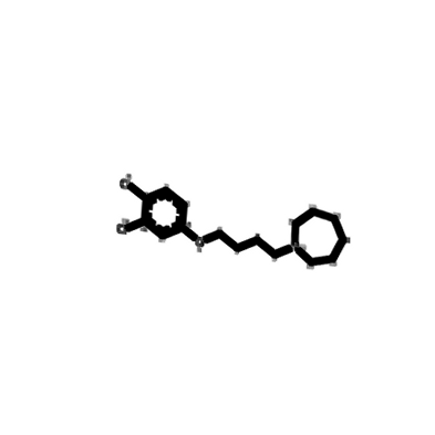 Clc1ccc(OCCCCN2CCCCCC2)cc1Cl